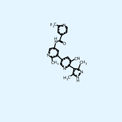 Cc1ncc(NC(=O)c2ccnc(C(F)(F)F)c2)cc1-c1cnc(-c2c(C)n[nH]c2C)c(C#N)c1